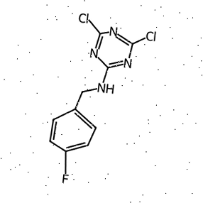 Fc1ccc(CNc2nc(Cl)nc(Cl)n2)cc1